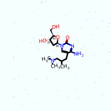 CC(Cc1cn([C@H]2C[C@H](O)[C@@H](CO)O2)c(=O)nc1N)CN(C)C